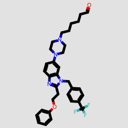 O=CCCCCCN1CCN(c2ccc3nc(CCOc4ccccc4)n(Cc4ccc(C(F)(F)F)cc4)c3c2)CC1